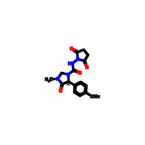 COc1ccc([C@H]2C(=O)N(C)CN2C(=O)NN2C(=O)CCC2=O)cc1